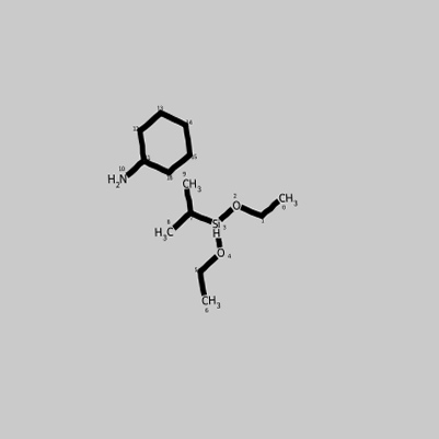 CCO[SiH](OCC)C(C)C.NC1CCCCC1